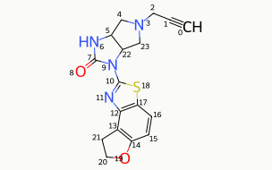 C#CCN1CC2NC(=O)N(c3nc4c5c(ccc4s3)OCC5)C2C1